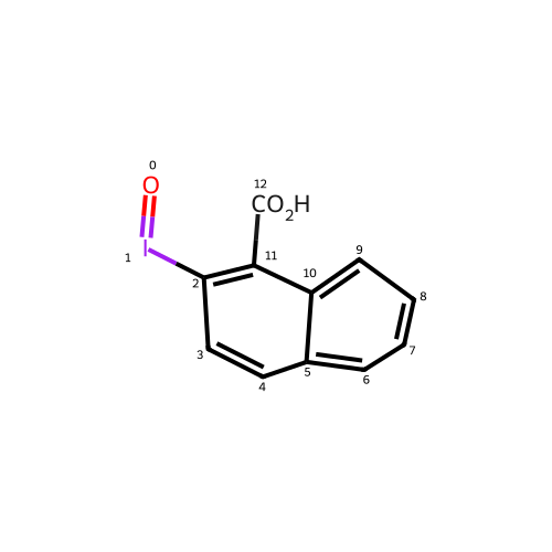 O=Ic1ccc2ccccc2c1C(=O)O